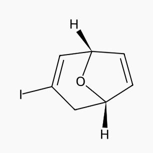 IC1=C[C@@H]2C=C[C@H](C1)O2